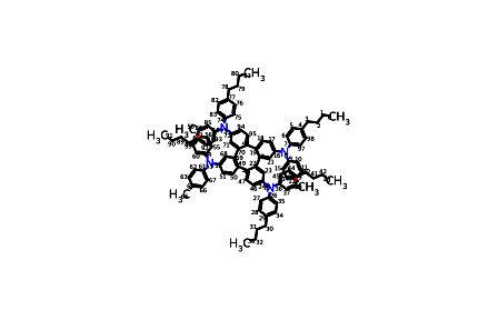 CCCCc1ccc(N(c2ccc(C)cc2)c2ccc3c(c2)-c2cc(N(c4ccc(CCCC)cc4)c4ccc(CCCC)cc4)ccc2-c2ccc(N(c4ccc(C)cc4)c4ccc(C)cc4)cc2-c2cc(N(c4ccc(CCCC)cc4)c4ccc(CCCC)cc4)ccc2-3)cc1